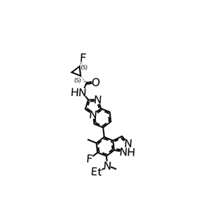 CCN(C)c1c(F)c(C)c(-c2ccc3nc(NC(=O)[C@@H]4C[C@@H]4F)cn3c2)c2cn[nH]c12